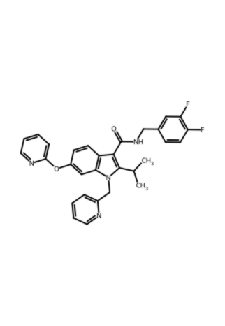 CC(C)c1c(C(=O)NCc2ccc(F)c(F)c2)c2ccc(Oc3ccccn3)cc2n1Cc1ccccn1